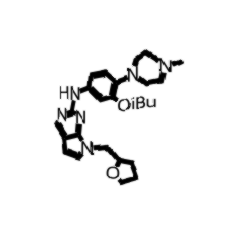 CC(C)COc1cc(Nc2ncc3ccn(CC4CCCO4)c3n2)ccc1N1CCN(C)CC1